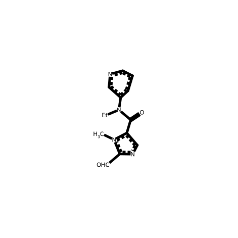 CCN(C(=O)c1cnc(C=O)n1C)c1cccnc1